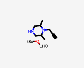 C#CCN1C(C)CNCC1C.CC(C)(C)OC=O